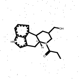 CCC(=O)N1CC(CO)CC2c3cccc4[nH]cc(c34)C[C@H]21